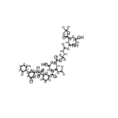 Cc1cccc(C)c1-c1cc(Cl)nc(NS(=O)(=O)c2cccc(C(=O)N3C[C@@H](O)CN(C(=O)OC(C)(C)CCC(C)C[C@@H]4CN(C(=O)OC(C)(C)C)C[C@H](O)CN4)C[C@H]3CC(C)C)c2)n1